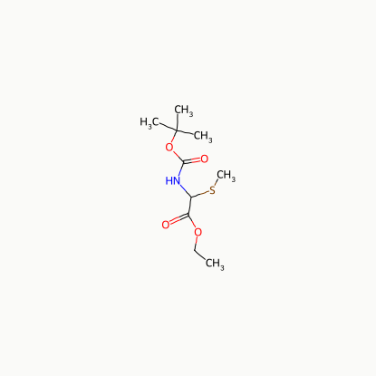 CCOC(=O)C(NC(=O)OC(C)(C)C)SC